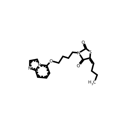 CCCC=C1SC(=O)N(CCCCOc2cccc3nccn23)C1=O